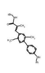 C/C(=C\c1cc(C)c(-c2ccc(NC(C)C)cc2)cc1C)C(=O)NC(C)(C)C